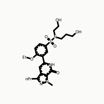 CCCc1nn(C)c2c(=O)[nH]c(-c3cc(S(=O)(=O)N(CCO)CCCO)ccc3OCC)cc12